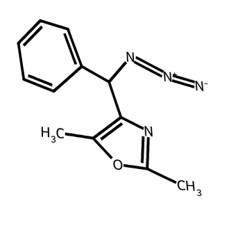 Cc1nc(C(N=[N+]=[N-])c2ccccc2)c(C)o1